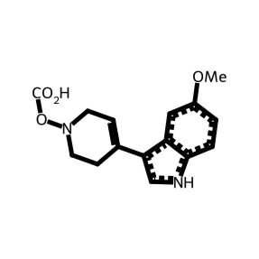 COc1ccc2[nH]cc(C3=CCN(OC(=O)O)CC3)c2c1